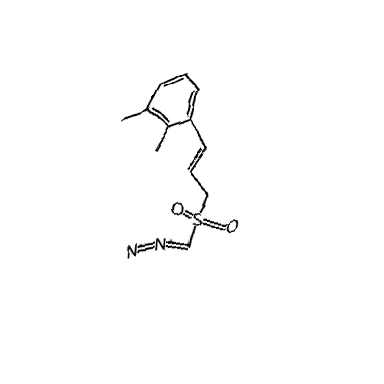 Cc1cccc(C=CCS(=O)(=O)C=[N+]=[N-])c1C